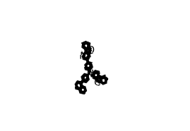 c1ccc2c(-c3ccc(N(c4ccc(-c5cnc6c(c5)oc5ccccc56)cc4)c4ccc5c(c4)oc4ccccc45)cc3)cccc2c1